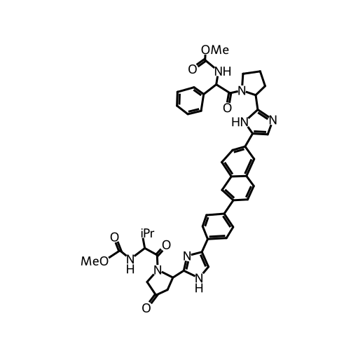 COC(=O)NC(C(=O)N1CCCC1c1ncc(-c2ccc3cc(-c4ccc(-c5c[nH]c(C6CC(=O)CN6C(=O)C(NC(=O)OC)C(C)C)n5)cc4)ccc3c2)[nH]1)c1ccccc1